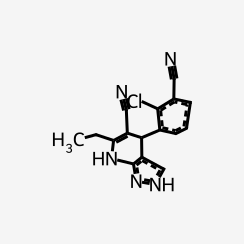 CCC1=C(C#N)C(c2cccc(C#N)c2Cl)c2c[nH]nc2N1